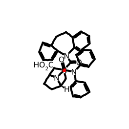 O=C(O)[C@@H]1C2CC[C@@H](CN1C(=O)N1c3ccccc3CCc3ccccc31)N2C(=O)N(c1ccccc1)c1ccccc1